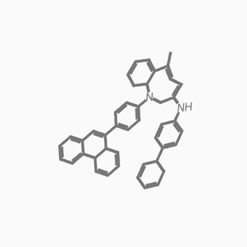 C/C1=C\C=C(\Nc2ccc(C3C=CC=CC3)cc2)CN(c2ccc(C3=Cc4ccccc4C4C=CC=CC34)cc2)C2CC=CC=C12